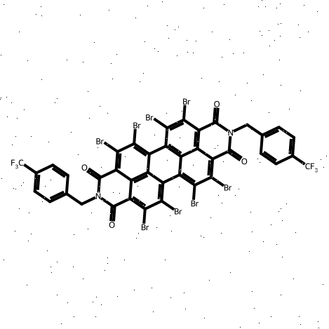 O=C1c2c(Br)c(Br)c3c4c(Br)c(Br)c5c6c(c(Br)c(Br)c(c7c(Br)c(Br)c(c2c37)C(=O)N1Cc1ccc(C(F)(F)F)cc1)c64)C(=O)N(Cc1ccc(C(F)(F)F)cc1)C5=O